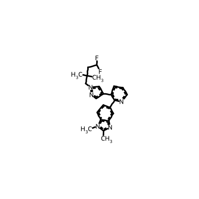 Cc1nc2cc(-c3ncccc3-c3cnn(CC(C)(C)CC(F)F)c3)ccc2n1C